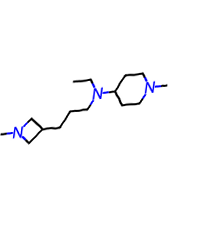 CCN(CCCC1CN(C)C1)C1CCN(C)CC1